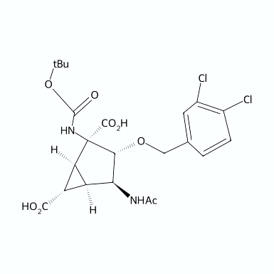 CC(=O)N[C@H]1[C@H]2[C@H](C(=O)O)[C@H]2[C@](NC(=O)OC(C)(C)C)(C(=O)O)[C@@H]1OCc1ccc(Cl)c(Cl)c1